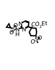 CCOC(=O)C1(c2ccnc(NS(=O)(=O)C3CC3)n2)CCC(S(C)(=O)=O)CC1